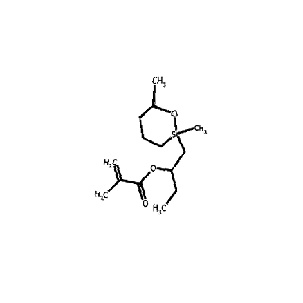 C=C(C)C(=O)OC(CC)C[Si]1(C)CCCC(C)O1